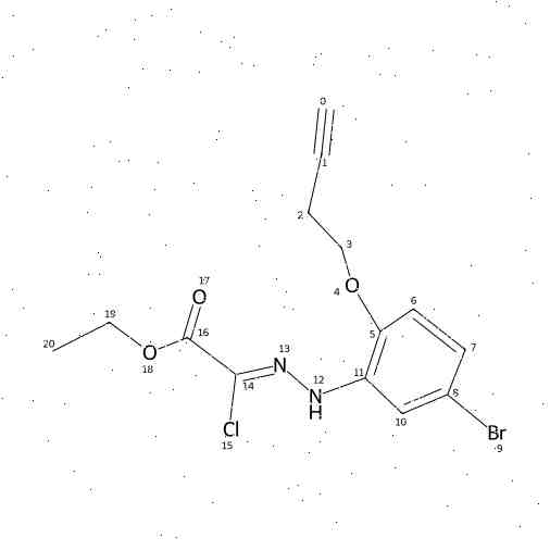 C#CCCOc1ccc(Br)cc1NN=C(Cl)C(=O)OCC